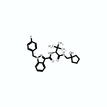 CC(C)(C)[C@H](NC(=O)c1nn(Cc2ccc(F)cc2)c2ccccc12)C(=O)NCC1(O)CCCC1